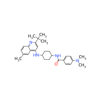 Cc1ccc2nc(C(C)(C)C)cc(NC3CCC(NC(=O)c4ccc(N(C)C)cc4)CC3)c2c1